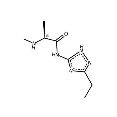 CCc1n[nH]c(NC(=O)[C@H](C)NC)n1